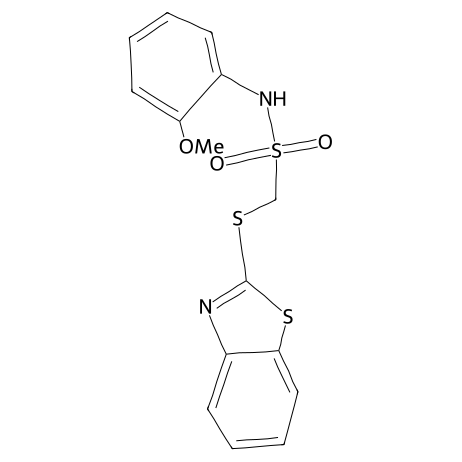 COc1ccccc1NS(=O)(=O)CSc1nc2ccccc2s1